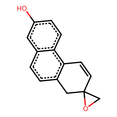 Oc1ccc2c3c(ccc2c1)CC1(C=C3)CO1